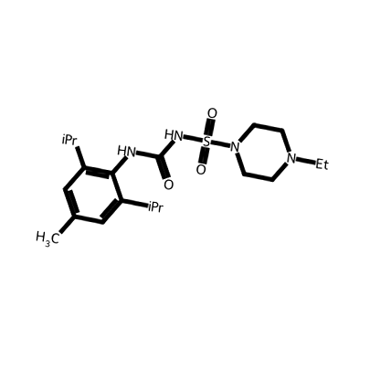 CCN1CCN(S(=O)(=O)NC(=O)Nc2c(C(C)C)cc(C)cc2C(C)C)CC1